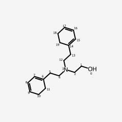 OCCN(CCC1=CC=CCC1)CCC1=CC=CCC1